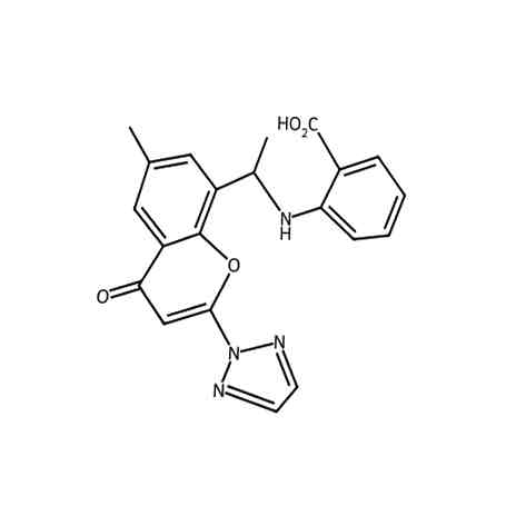 Cc1cc(C(C)Nc2ccccc2C(=O)O)c2oc(-n3nccn3)cc(=O)c2c1